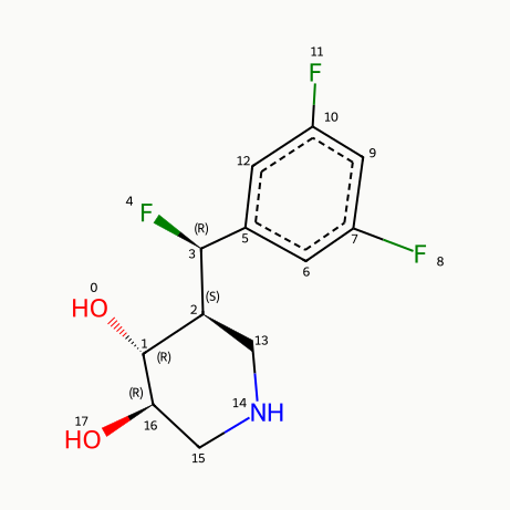 O[C@@H]1[C@@H]([C@@H](F)c2cc(F)cc(F)c2)CNC[C@H]1O